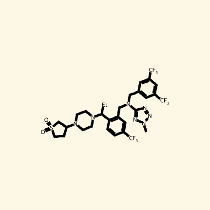 CCC(c1ccc(C(F)(F)F)cc1CN(Cc1cc(C(F)(F)F)cc(C(F)(F)F)c1)c1nnn(C)n1)N1CCN(C2CCS(=O)(=O)C2)CC1